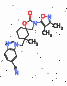 Cc1noc(N2CC3(CCCC(C)(Cn4cnc5ccc(C#N)cc54)C3)OC2=O)c1C